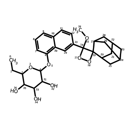 CCC1OC(Oc2cccc3ccc(C4(OC)OOC45C4CC6CC(C4)CC5C6)cc23)C(O)C(O)C1O